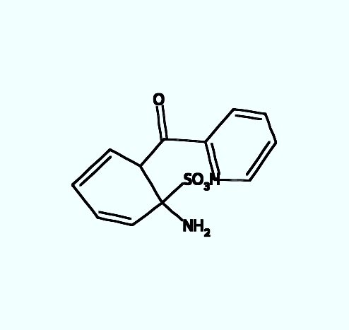 NC1(S(=O)(=O)O)C=CC=CC1C(=O)c1ccccc1